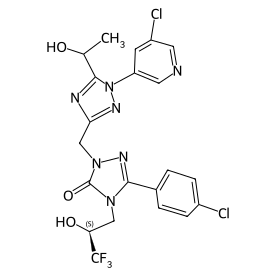 CC(O)c1nc(Cn2nc(-c3ccc(Cl)cc3)n(C[C@H](O)C(F)(F)F)c2=O)nn1-c1cncc(Cl)c1